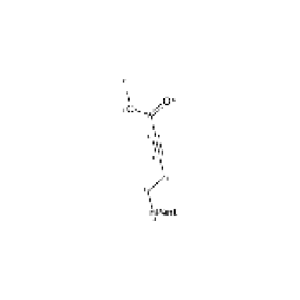 CCCCCCCC#CC(=O)OI